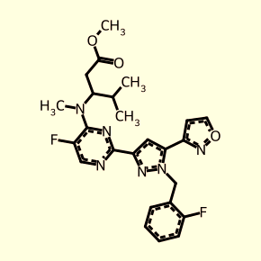 COC(=O)CC(C(C)C)N(C)c1nc(-c2cc(-c3ccon3)n(Cc3ccccc3F)n2)ncc1F